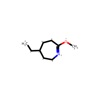 CCC1CCN=C(OC)CC1